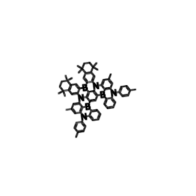 Cc1ccc(N2c3ccccc3B3c4cc5c6c7c4N(c4cc8c(cc4B7c4cc7c(cc4N6c4cc(C)cc6c4B5c4ccccc4N6c4ccc(C)cc4)C(C)(C)CCC7(C)C)C(C)(C)CCC8(C)C)c4cc(C)cc2c43)cc1